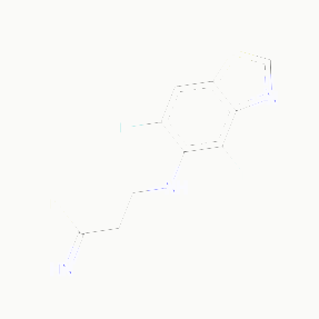 N=C(S)CCNc1c(F)cc2scnc2c1F